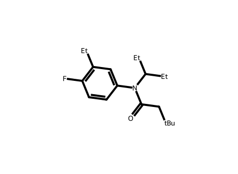 CCc1cc(N(C(=O)CC(C)(C)C)C(CC)CC)ccc1F